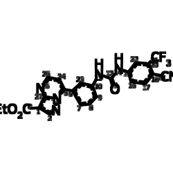 CCOC(=O)c1cnn2c(-c3cccc(NC(=O)Nc4ccc(C#N)c(C(F)(F)F)c4)c3)ccnc12